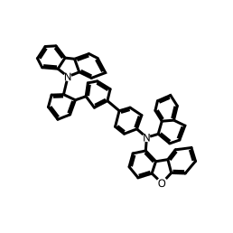 c1cc(-c2ccc(N(c3cccc4ccccc34)c3cccc4oc5ccccc5c34)cc2)cc(-c2ccccc2-n2c3ccccc3c3ccccc32)c1